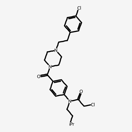 CC(C)CCN(C(=O)CCl)c1ccc(C(=O)N2CCN(CCc3ccc(Cl)cc3)CC2)cc1